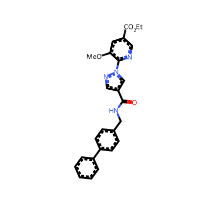 CCOC(=O)c1cnc(-n2cc(C(=O)NCc3ccc(-c4ccccc4)cc3)cn2)c(OC)c1